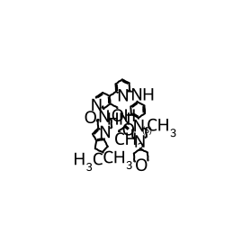 C=CC(=O)Nc1cc(Nc2cccc(-c3ccnc(N4CCn5c(cc6c5CC(C)(C)C6)C4=O)c3CO)n2)ccc1N1CCN(C2CCOCC2)C[C@@H]1C